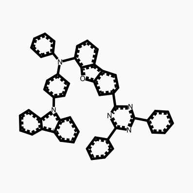 c1ccc(-c2nc(-c3ccccc3)nc(-c3ccc4c(c3)oc3c(N(c5ccccc5)c5ccc(-n6c7ccccc7c7ccccc76)cc5)cccc34)n2)cc1